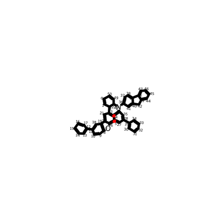 C1=CC(c2ccc3oc4ccc(-c5ccccc5)cc4c3c2)C(N(c2cccc(-c3ccccc3)c2)c2ccc3c(c2)Cc2ccccc2-3)C=C1